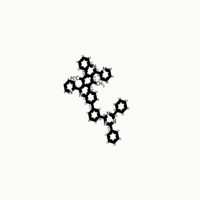 Cc1c2c(-c3ccccn3)nc3cc(-c4cccc(-c5nc(-c6ccccc6)nc(-c6ccccc6)n5)c4)ccc3c2c(C)c2c(-c3ccccn3)nc3ccccc3c12